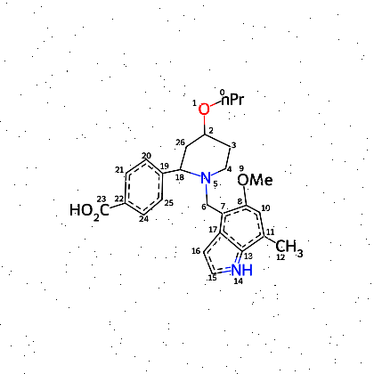 CCCOC1CCN(Cc2c(OC)cc(C)c3[nH]ccc23)C(c2ccc(C(=O)O)cc2)C1